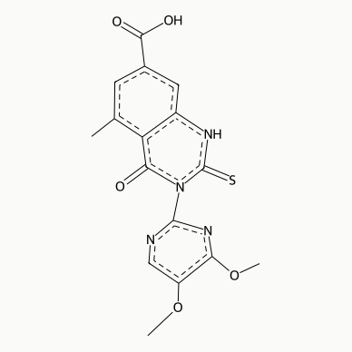 COc1cnc(-n2c(=S)[nH]c3cc(C(=O)O)cc(C)c3c2=O)nc1OC